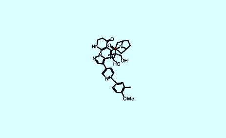 COc1ccc(-c2ccc(-c3cnn4c5c(c(C6CC7CCC(C6)N7C(=O)C(C)(CO)CO)nc34)C(=O)CCN5)cn2)cc1C